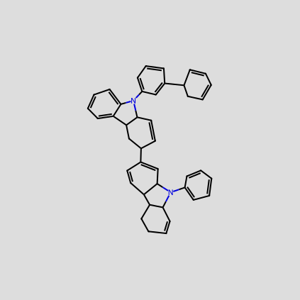 C1=CCC(c2cccc(N3c4ccccc4C4CC(C5=CC6C(C=C5)C5CCC=CC5N6c5ccccc5)C=CC43)c2)C=C1